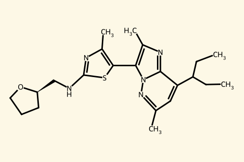 CCC(CC)c1cc(C)nn2c(-c3sc(NC[C@H]4CCCO4)nc3C)c(C)nc12